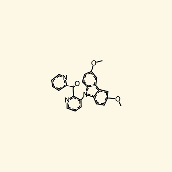 COc1ccc2c(c1)c1cc(OC)ccc1n2-c1cccnc1C(=O)c1ccccn1